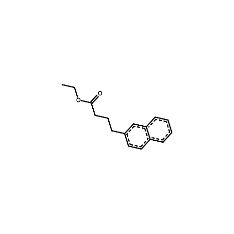 CCOC(=O)CCCc1ccc2ccccc2c1